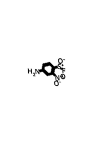 Nc1ccc([S+]([O-])F)c([N+](=O)[O-])c1